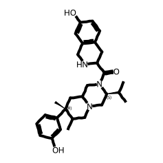 CC(C)[C@H]1CN2CC(C)[C@](C)(c3cccc(O)c3)CC2CN1C(=O)C1Cc2ccc(O)cc2CN1